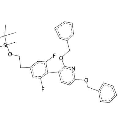 CC(C)(C)[Si](C)(C)OCCc1cc(F)c(-c2ccc(OCc3ccccc3)nc2OCc2ccccc2)c(F)c1